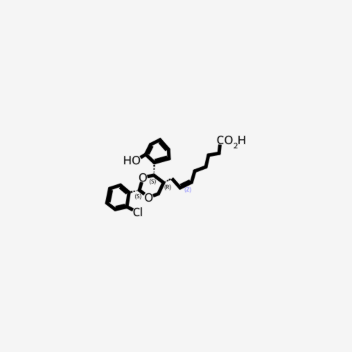 O=C(O)CCCC/C=C\C[C@@H]1CO[C@H](c2ccccc2Cl)O[C@@H]1c1ccccc1O